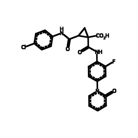 O=C(Nc1ccc(Cl)cc1)C1CC1(C(=O)O)C(=O)Nc1ccc(-n2ccccc2=O)cc1F